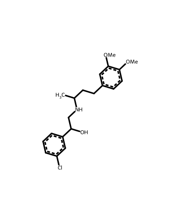 COc1ccc(CCC(C)NCC(O)c2cccc(Cl)c2)cc1OC